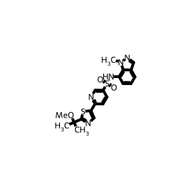 COC(C)(C)c1ncc(-c2ccc(S(=O)(=O)Nc3cccc4cnn(C)c34)cn2)s1